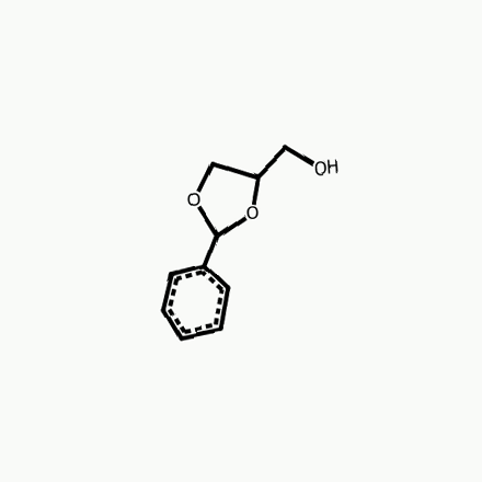 OCC1COC(c2ccccc2)O1